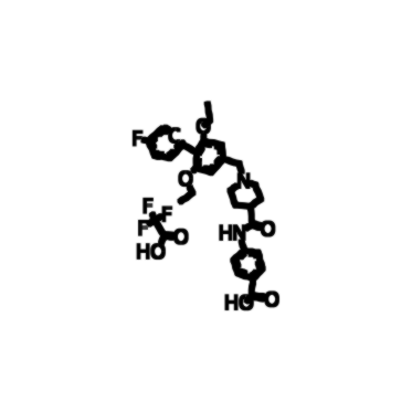 CCOc1cc(CN2CCC(C(=O)Nc3ccc(C(=O)O)cc3)CC2)cc(OCC)c1-c1ccc(F)cc1.O=C(O)C(F)(F)F